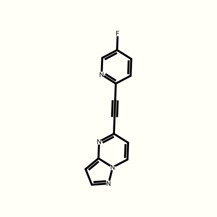 Fc1ccc(C#Cc2ccn3nccc3n2)nc1